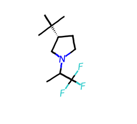 CC(N1CC[C@@H](C(C)(C)C)C1)C(F)(F)F